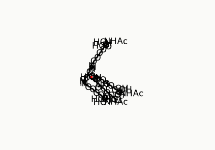 [CH2]COCCOCCOCCOCCC(=O)NCCCCCC(=O)NC(COCc1cn(CCOCCOCCOCCOC[C@@]23CO[C@@H](O2)[C@H](NC(C)=O)[C@@H](O)[C@H]3O)nn1)(COCc1cn(CCOCCOCCOCCOC[C@@]23CO[C@@H](O2)[C@H](NC(C)=O)[C@@H](O)[C@H]3O)nn1)COCc1cn(CCOCCOCCOCCOC[C@@]23CO[C@@H](O2)[C@H](NC(C)=O)[C@@H](O)[C@H]3O)nn1